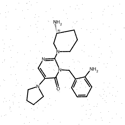 Nc1ccccc1Cn1c(N2CCC[C@@H](N)C2)ncc(N2CCCC2)c1=O